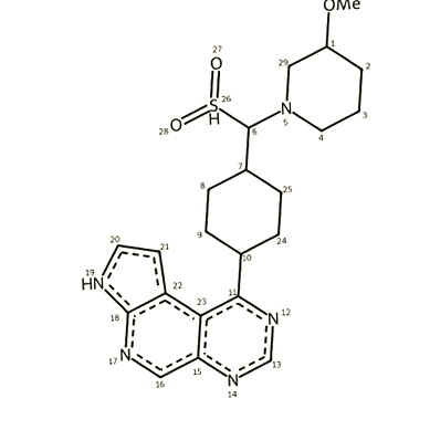 COC1CCCN(C(C2CCC(c3ncnc4cnc5[nH]ccc5c34)CC2)[SH](=O)=O)C1